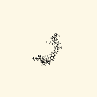 COC(=O)N[C@H](C(=O)N1CC[C@H]1c1nc2cc(-c3ccc4cc(-c5cnc([C@@H]6CCCN6C(=O)[C@H](C(C)C)N(N)C(=O)OC)[nH]5)ccc4c3)ccc2[nH]1)C(C)C